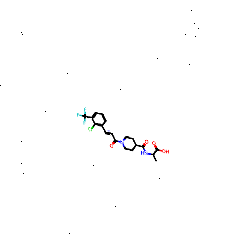 CC(NC(=O)C1CCN(C(=O)/C=C/c2cccc(C(F)(F)F)c2Cl)CC1)C(=O)O